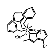 CC1=Cc2c(Br)cccc2[CH]1[Zr]([CH3])([CH3])(=[SiH2])([CH2]c1ccccc1)([CH2]c1ccccc1)([CH2]c1ccccc1)[NH]C(C)(C)C